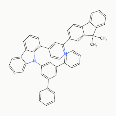 CC1(C)c2ccccc2-c2ccc(-c3cc(-c4cccc5c6ccccc6n(-c6cc(-c7ccccc7)cc(-c7ccccc7)c6)c45)ccn3)cc21